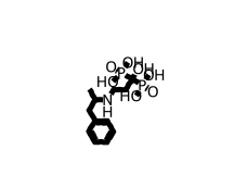 CC(Cc1ccccc1)NCCC(O)(P(=O)(O)O)P(=O)(O)O